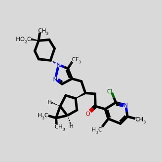 Cc1cc(C)c(C(=O)CC(Cc2cnn([C@H]3CC[C@](C)(C(=O)O)CC3)c2C(F)(F)F)[C@H]2C[C@@H]3[C@H](C2)C3(C)C)c(Cl)n1